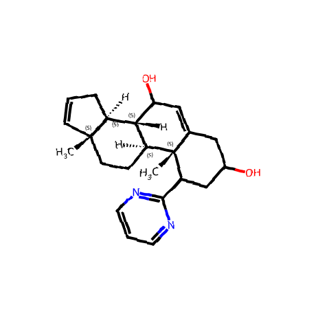 C[C@@]12C=CC[C@H]1[C@@H]1C(O)C=C3CC(O)CC(c4ncccn4)[C@]3(C)[C@H]1CC2